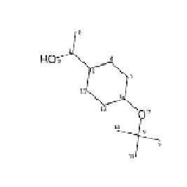 CC(O)C1CCC(OC(C)(C)C)CC1